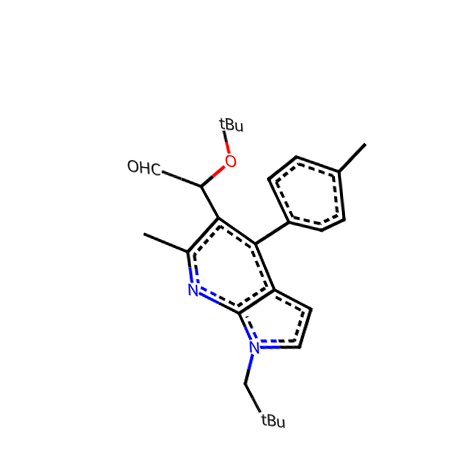 Cc1ccc(-c2c(C(C=O)OC(C)(C)C)c(C)nc3c2ccn3CC(C)(C)C)cc1